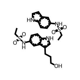 CCS(=O)(=O)Nc1ccc2[nH]cc(CCCO)c2c1.CCS(=O)(=O)Nc1ccc2[nH]ccc2c1